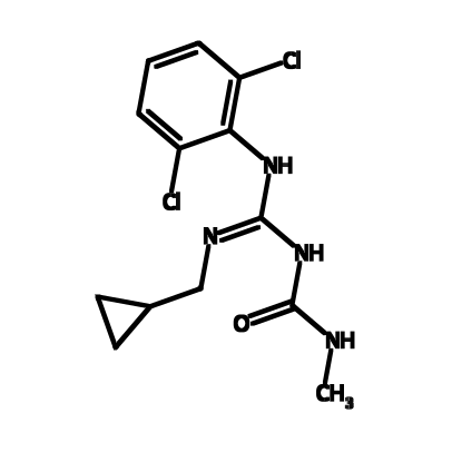 CNC(=O)NC(=NCC1CC1)Nc1c(Cl)cccc1Cl